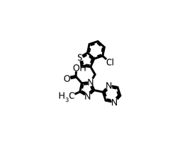 Cc1nc(-c2cnccn2)n(Cc2csc3cccc(Cl)c23)c1C(=O)O